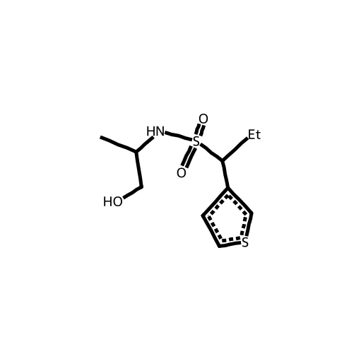 CCC(c1ccsc1)S(=O)(=O)NC(C)CO